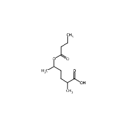 CCCC(=O)OC(C)CCC(C)C(=O)O